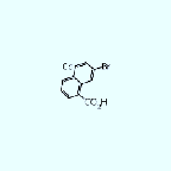 O=C(O)c1cccc2ccc(Br)cc12.[Cd]